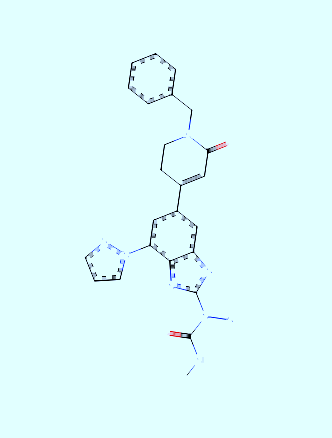 CCNC(=O)N(N)c1nc2cc(C3=CC(=O)N(Cc4ccccc4)CC3)cc(-n3cccn3)c2[nH]1